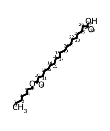 CCCCCCCOC(=O)CCCCCCCCCCCCCCCCCC(=O)O